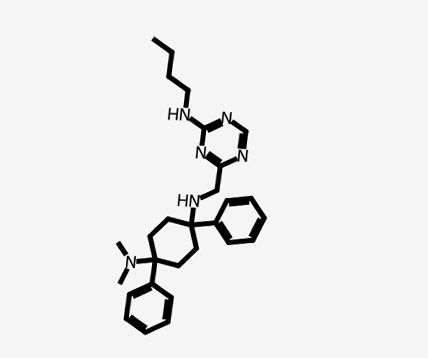 CCCCNc1ncnc(CNC2(c3ccccc3)CCC(c3ccccc3)(N(C)C)CC2)n1